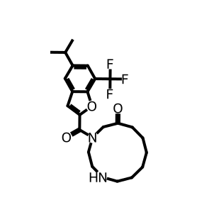 CC(C)c1cc(C(F)(F)F)c2oc(C(=O)N3CCNCCCCCCC(=O)C3)cc2c1